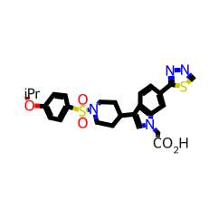 CC(C)Oc1ccc(S(=O)(=O)N2CCC(c3cn(CC(=O)O)c4cc(-c5nncs5)ccc34)CC2)cc1